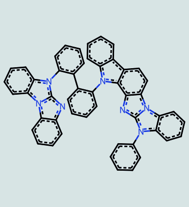 c1ccc(-n2c3ccccc3n3c4ccc5c6ccccc6n(-c6ccccc6-c6ccccc6-n6c7ccccc7n7c8ccccc8nc67)c5c4nc23)cc1